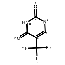 O=C1[N]C=C(C(F)(F)F)C(=O)N1